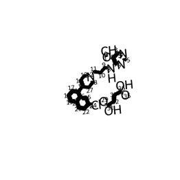 COc1cncnc1NCCCN1CC=C(c2cccc3ccc(Cl)cc23)CC1.O=C(O)C=CC(=O)O